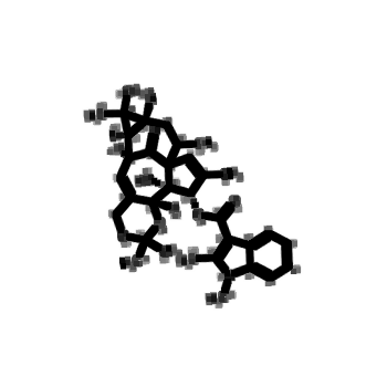 CC1=CC23C(=O)[C@@H](C=C4COC(C)(C)O[C@H]4[C@]2(O)[C@H]1OC(=O)c1c(C)n(C)c2ccccc12)[C@@H]1[C@@H](CC3C)C1(C)C